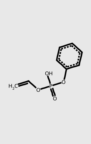 C=COP(=O)(O)Oc1ccccc1